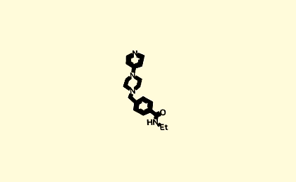 CCNC(=O)c1ccc(CN2CCN(c3ccncc3)CC2)cc1